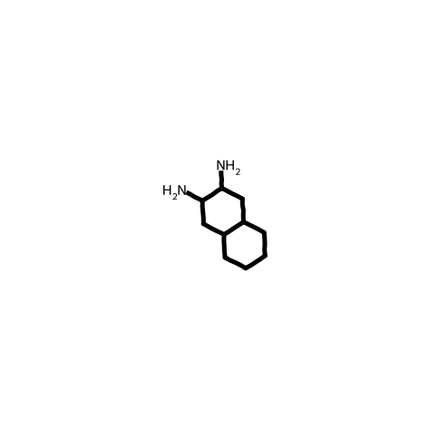 NC1CC2CCCCC2CC1N